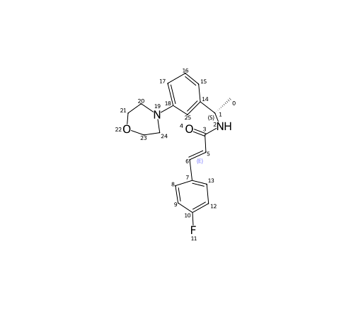 C[C@H](NC(=O)/C=C/c1ccc(F)cc1)c1cccc(N2CCOCC2)c1